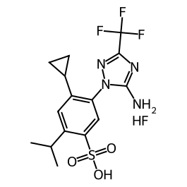 CC(C)c1cc(C2CC2)c(-n2nc(C(F)(F)F)nc2N)cc1S(=O)(=O)O.F